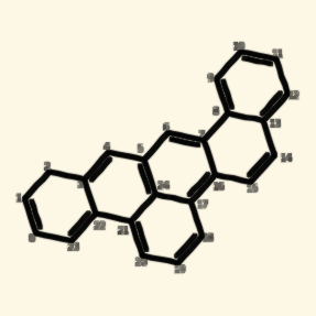 C1=CCc2cc3cc4c5ccccc5ccc4c4cccc(c2=C1)c34